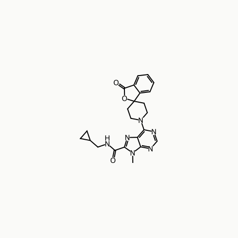 Cn1c(C(=O)NCC2CC2)nc2c(N3CCC4(CC3)OC(=O)c3ccccc34)ncnc21